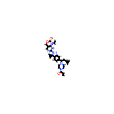 C=CC(=O)N1CCN(C(CC2CC2)c2ccc(C3(Nc4ncc5c(n4)N(CC)C(=O)OC5)CC3)cc2)CC1